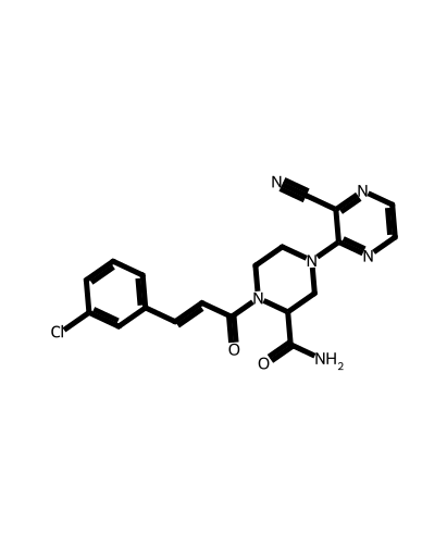 N#Cc1nccnc1N1CCN(C(=O)C=Cc2cccc(Cl)c2)C(C(N)=O)C1